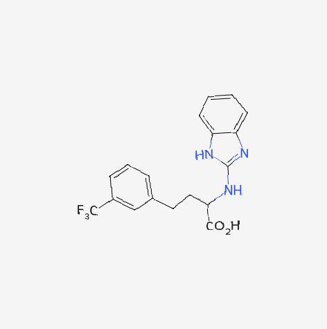 O=C(O)C(CCc1cccc(C(F)(F)F)c1)Nc1nc2ccccc2[nH]1